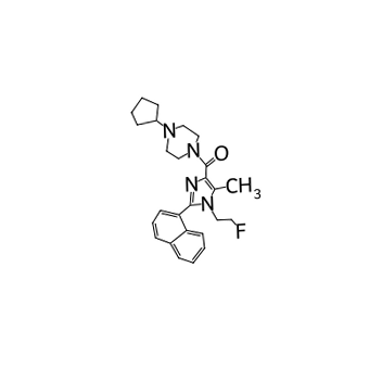 Cc1c(C(=O)N2CCN(C3CCCC3)CC2)nc(-c2cccc3ccccc23)n1CCF